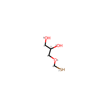 OCC(O)COCS